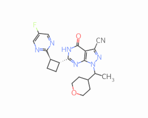 CC(C1CCOCC1)n1nc(C#N)c2c(=O)[nH]c([C@@H]3CC[C@H]3c3ncc(F)cn3)nc21